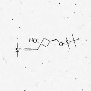 CC(C)(C)[Si](C)(C)OC[C@H]1C[C@@](O)(CC#C[Si](C)(C)C)C1